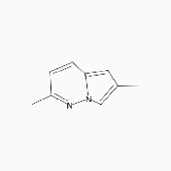 Cc1cc2ccc(C)nn2c1